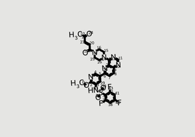 COc1ncc(-c2ccc3ncnc(N4CCN(C(=O)/C=C/C(C)=O)CC4)c3n2)cc1NS(=O)(=O)c1c(F)cc(F)cc1F